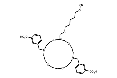 N#CSCCCCCSC[C@@H]1COCCN(Cc2cccc(C(=O)O)n2)CCOCCOCCN(Cc2cccc(C(=O)O)n2)CCO1